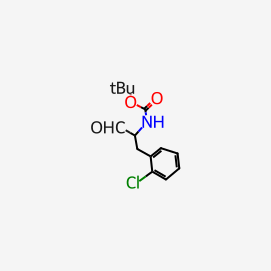 CC(C)(C)OC(=O)NC(C=O)Cc1ccccc1Cl